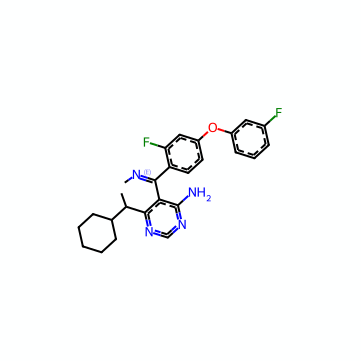 C/N=C(/c1ccc(Oc2cccc(F)c2)cc1F)c1c(N)ncnc1C(C)C1CCCCC1